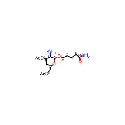 CC(=O)OCC1CC(OC(C)=O)C(N)C(OCCCCC(N)=O)O1